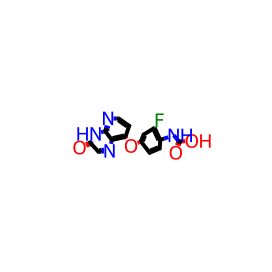 O=C(O)Nc1ccc(Oc2ccnc3[nH]c(=O)cnc23)cc1F